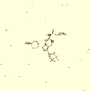 COCC(C)Nc1ncc2c(B3OC(C)(C)C(C)(C)O3)cc([C@H]3CC[C@H](O)CC3)n2n1